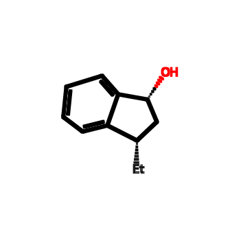 CC[C@H]1C[C@@H](O)c2ccccc21